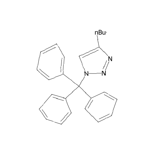 CCC[CH]c1cn(C(c2ccccc2)(c2ccccc2)c2ccccc2)nn1